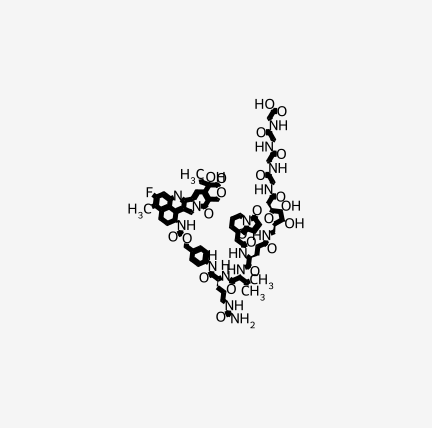 CC[C@@]1(O)C(=O)OCc2c1cc1n(c2=O)Cc2c-1nc1cc(F)c(C)c3c1c2[C@@H](NC(=O)OCc1ccc(NC(=O)[C@@H](CCCNC(N)=O)NC(=O)[C@H](NC(=O)[C@H](CCC(=O)NC[C@H]2O[C@@H](CC(=O)NCC(=O)NCC(=O)NCC(=O)NCC(=O)O)[C@H](O)[C@@H]2O)NC(=O)CCCCCN2C(=O)C=CC2=O)C(C)C)cc1)CC3